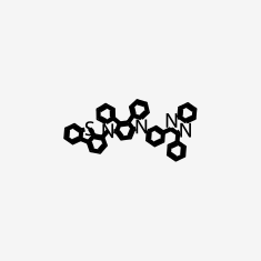 c1ccc(-c2nc3ccccc3nc2-c2cccc(-n3c4ccccc4c4c5c6ccccc6n(-c6cccc7c6sc6ccccc67)c5ccc43)c2)cc1